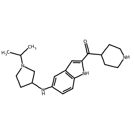 CC(C)N1CCC(Nc2ccc3[nH]c(C(=O)C4CCNCC4)cc3c2)C1